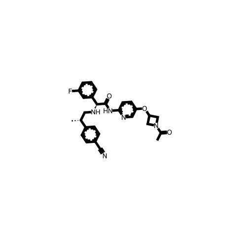 CC(=O)N1CC(Oc2ccc(NC(=O)[C@H](NC[C@@H](C)c3ccc(C#N)cc3)c3cccc(F)c3)nc2)C1